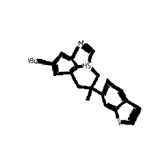 CC(C)(C)c1cc2c3c(c1)N=C[SH]3CC(C)(c1ccc3ccsc3c1)C2